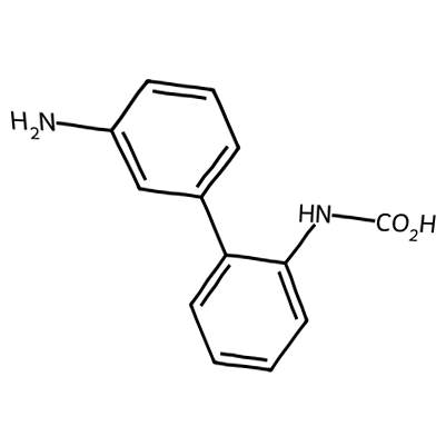 Nc1cccc(-c2ccccc2NC(=O)O)c1